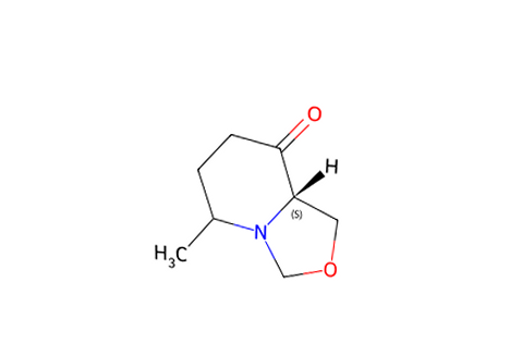 CC1CCC(=O)[C@@H]2COCN12